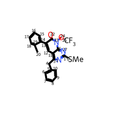 CSc1nc(Cc2ccccc2)c2cc(-c3ccccc3C)c(=O)n(OC(F)(F)F)c2n1